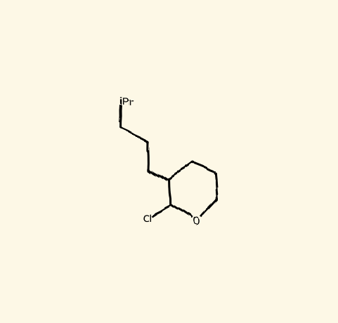 CC(C)CCCC1CCCOC1Cl